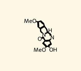 COc1ccc2c(c1)CN1C(=O)c3cc(OC)c(O)cc3N=C[C@@H]1C2